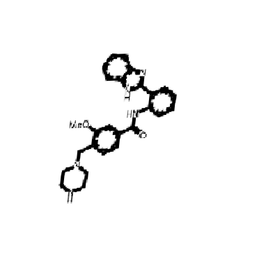 COc1cc(C(=O)Nc2ccccc2-c2nc3ccccc3[nH]2)ccc1CN1CCNCC1